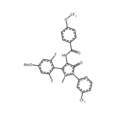 COc1cc(F)c(-c2c(NC(=O)c3ccc(OC(F)(F)F)cc3)c(=O)n(-c3cc(C(F)(F)F)ccn3)n2C)c(F)c1